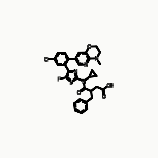 CN1CCOc2cc(-c3ccc(Cl)cc3-c3nc(N(C(=O)C(CC(=O)O)Cc4ccccc4)C4CC4)sc3F)cnc21